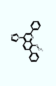 COc1c(-c2ccccc2)ccc2c(-n3ccnc3)cc(-c3ccccc3)nc12